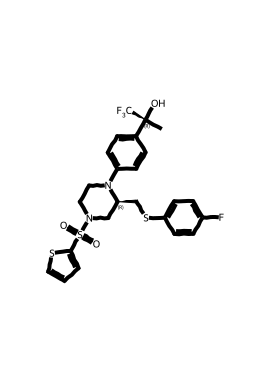 C[C@@](O)(c1ccc(N2CCN(S(=O)(=O)c3cccs3)C[C@@H]2CSc2ccc(F)cc2)cc1)C(F)(F)F